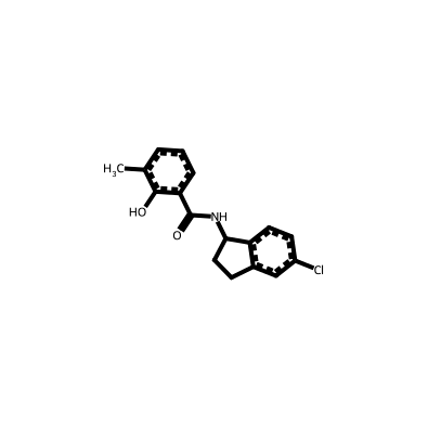 Cc1cccc(C(=O)NC2CCc3cc(Cl)ccc32)c1O